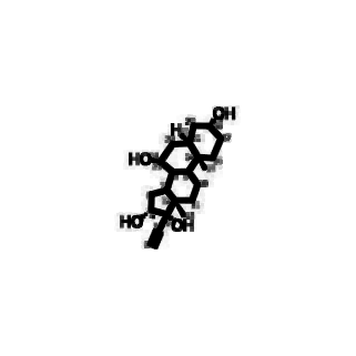 C#C[C@]1(O)[C@H](O)CC2C3C(CC[C@@]21C)[C@@]1(C)CC[C@H](O)C[C@H]1C[C@@H]3O